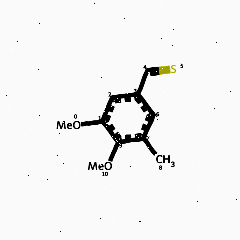 COc1cc(C=S)cc(C)c1OC